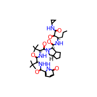 CCC[C@@H](NC(=O)[C@@H]1C2CCC[C@H]2CN1C(=O)[C@@H](NC(=O)[C@H](NC(=O)c1cccc(=O)[nH]1)C(C)(C)C)C(C)(C)C)C(=O)C(=O)NC1CC1